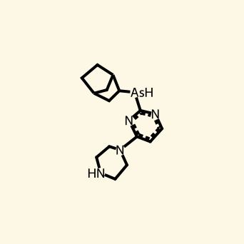 c1cc(N2CCNCC2)nc([AsH]C2CC3CCC2C3)n1